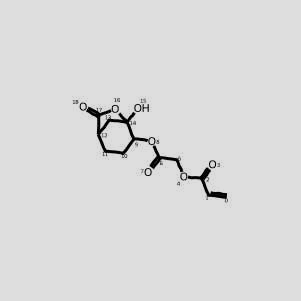 C=CC(=O)OCC(=O)OC1CCC2CC1(O)OC2=O